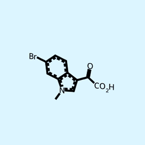 Cn1cc(C(=O)C(=O)O)c2ccc(Br)cc21